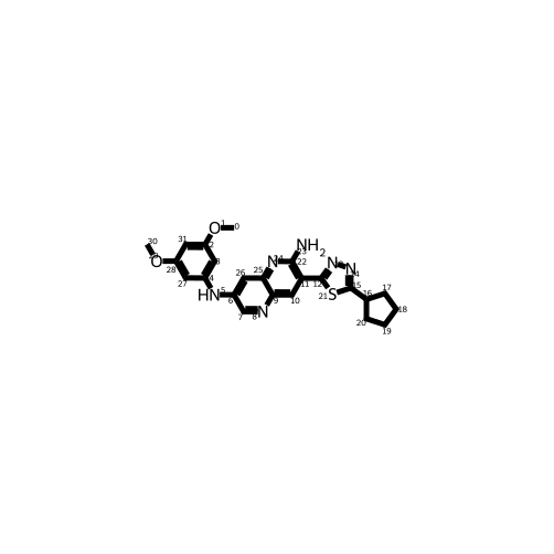 COc1cc(Nc2cnc3cc(-c4nnc(C5CCCC5)s4)c(N)nc3c2)cc(OC)c1